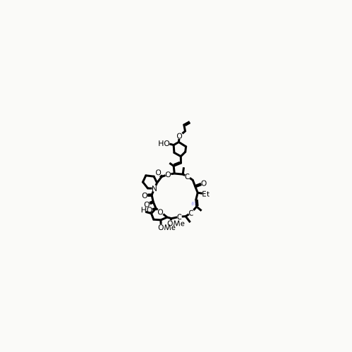 C=CCOC1CCC(C=C(C)C2OC(=O)C3CCCCN3C(=O)C(=O)C3(O)OC(C(OC)CC(C)C/C(C)=C/C(CC)C(=O)CCC2C)C(OC)CC3C)CC1O